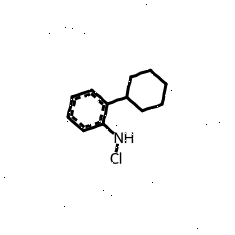 ClNc1ccccc1C1CCCCC1